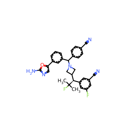 CC(C)(F)[C@H](c1cc(F)cc(C#N)c1)C1CN(C(c2ccc(C#N)cc2)c2cccc(-c3cnc(N)o3)c2)C1